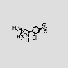 CNC(CN(C)C)c1ccc([N+](=O)[O-])cc1Cl